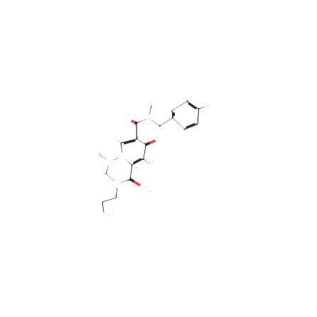 COCCN1CN(C)n2cc(C(=O)N(C)Cc3ccc(F)cc3)c(=O)c(O)c2C1=O